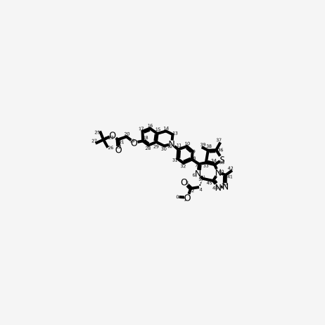 COC(=O)C[C@@H]1N=C(c2ccc(N3CCc4ccc(OCC(=O)OC(C)(C)C)cc4C3)cc2)c2c(sc(C)c2C)-n2c(C)nnc21